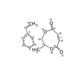 C=Cc1ccccc1.CC1COC(=O)/C=C\C(=O)O1